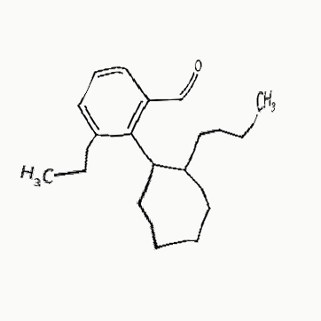 CCCC1CCCCC1c1c(C=O)cccc1CC